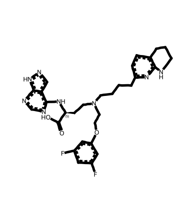 O=C(O)[C@H](CCN(CCCCc1ccc2c(n1)NCCC2)CCOc1cc(F)cc(F)c1)Nc1ncnc2[nH]ncc12